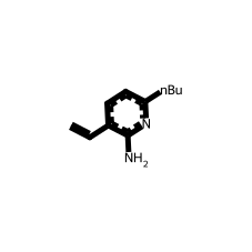 C=Cc1ccc(CCCC)nc1N